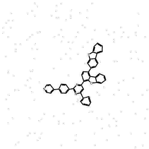 c1ccc(-c2cc(-c3ccc(-c4ccc5c(c4)sc4ccccc45)c4c3oc3ccccc34)nc(-c3ccc(-c4ccncc4)cc3)n2)cc1